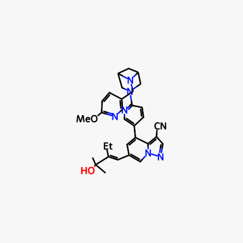 CC/C(=C\c1cc(-c2ccc(N3CC4CC(C3)N4Cc3ccc(OC)nc3)nc2)c2c(C#N)cnn2c1)C(C)(C)O